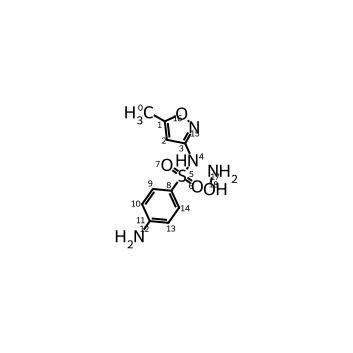 Cc1cc(NS(=O)(=O)c2ccc(N)cc2)no1.NO